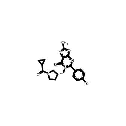 Cc1nc2c(=O)n(C[C@@H]3CCN(C(=O)C4CC4)C3)c(-c3ccc(Br)cc3)nc2o1